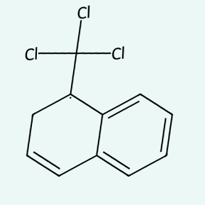 ClC(Cl)(Cl)[C]1CC=Cc2ccccc21